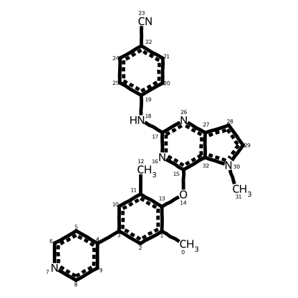 Cc1cc(-c2ccncc2)cc(C)c1Oc1nc(Nc2ccc(C#N)cc2)nc2ccn(C)c12